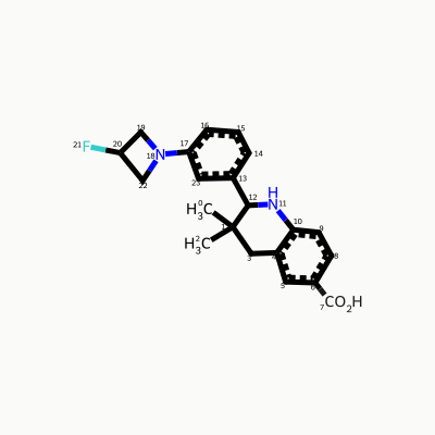 CC1(C)Cc2cc(C(=O)O)ccc2NC1c1cccc(N2CC(F)C2)c1